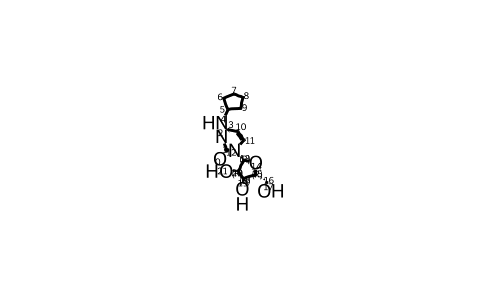 O=c1nc(NC2CCCC2)ccn1[C@@H]1O[C@H](CO)[C@@H](O)[C@H]1O